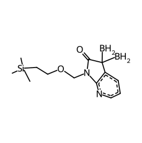 BC1(B)C(=O)N(COCC[Si](C)(C)C)c2ncccc21